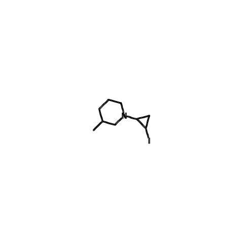 CC1CCCN(C2CC2I)C1